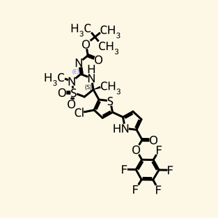 CN1/C(=N/C(=O)OC(C)(C)C)N[C@](C)(c2sc(-c3ccc(C(=O)Oc4c(F)c(F)c(F)c(F)c4F)[nH]3)cc2Cl)CS1(=O)=O